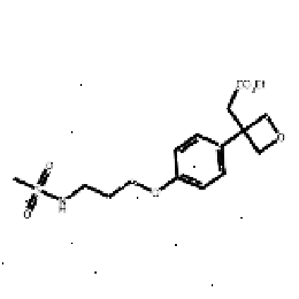 CCOC(=O)CC1(c2ccc(OCCCNS(C)(=O)=O)cc2)COC1